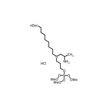 CCCCCCCCCCCCCCCCCCN(CCCO[Si](OOC)(OOC)OOC)CC(C)N.Cl